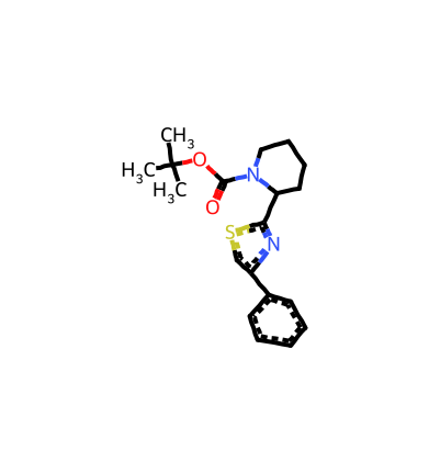 CC(C)(C)OC(=O)N1CCCCC1c1nc(-c2ccccc2)cs1